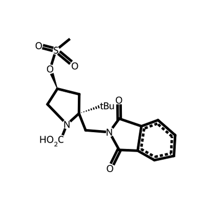 CC(C)(C)[C@@]1(CN2C(=O)c3ccccc3C2=O)C[C@H](OS(C)(=O)=O)CN1C(=O)O